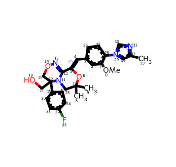 COc1cc(/C=C2\OC(C)(C)CN3C2=NOCC3(CO)c2ccc(F)cc2)ccc1-n1cnc(C)c1